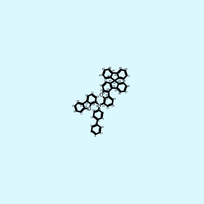 c1ccc(-c2ccc(N(c3cccc4c3oc3ccccc34)c3cccc4c3oc3ccc5c(c34)-c3ccccc3C53c4ccccc4-c4ccccc43)cc2)cc1